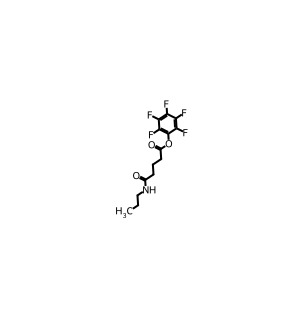 CCCNC(=O)CCCC(=O)Oc1c(F)c(F)c(F)c(F)c1F